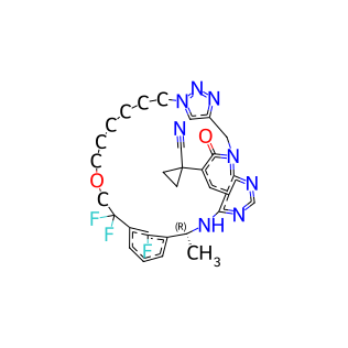 C[C@H]1Nc2ncnc3c2cc(C2(C#N)CC2)c(=O)n3Cc2cn(nn2)CCCCCCOCC(F)(F)c2cccc1c2F